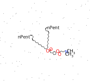 CCCCC/C=C\C/C=C\CCCCCCCCC(CCCCCCCC/C=C\C/C=C\CCCCC)OC(=O)CC1CCC(OC(=O)CCCN(C)C)C1